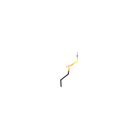 CCCPSI